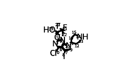 Clc1ncnc2c1c(I)cn2C1CCNCC1.O=C(O)C(F)(F)F